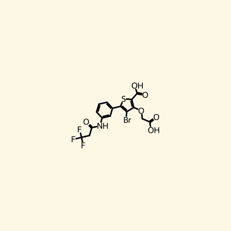 O=C(O)COc1c(C(=O)O)sc(-c2cccc(NC(=O)CC(F)(F)F)c2)c1Br